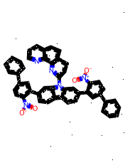 O=[N+]([O-])c1ccc(-c2ccccc2)cc1-c1ccc2c3ccc(-c4cc(-c5ccccc5)ccc4[N+](=O)[O-])cc3n(-c3ccc4ccc5cccnc5c4n3)c2c1